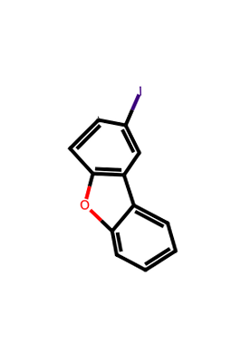 Ic1[c]cc2oc3ccccc3c2c1